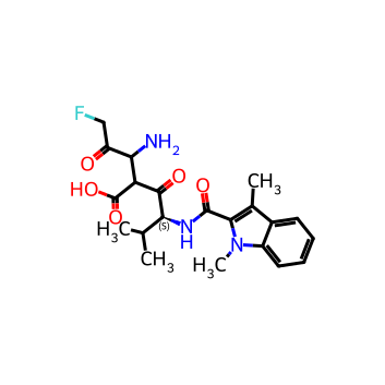 Cc1c(C(=O)N[C@H](C(=O)C(C(=O)O)C(N)C(=O)CF)C(C)C)n(C)c2ccccc12